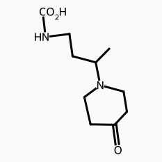 CC(CCNC(=O)O)N1CCC(=O)CC1